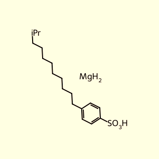 CC(C)CCCCCCCCCc1ccc(S(=O)(=O)O)cc1.[MgH2]